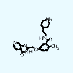 Cc1ccc(OCc2nc3cnccc3c(=O)[nH]2)cc1C(=O)NCCC1CCNCC1